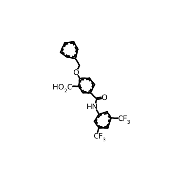 O=C(Nc1cc(C(F)(F)F)cc(C(F)(F)F)c1)c1ccc(OCc2ccccc2)c(C(=O)O)c1